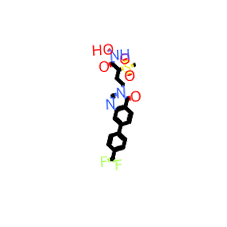 CS(=O)(=O)C(CCn1cnc2cc(-c3ccc(C(F)F)cc3)ccc2c1=O)C(=O)NO